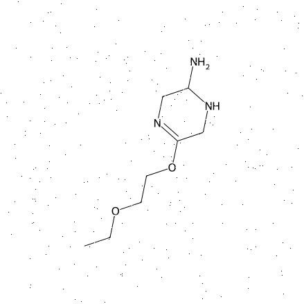 CCOCCOC1=NCC(N)NC1